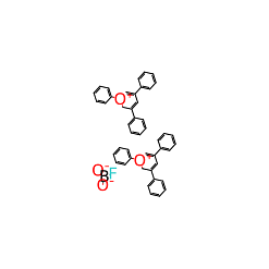 C1=C(c2ccccc2)C=C(c2ccccc2)C[O+]1c1ccccc1.C1=C(c2ccccc2)C=C(c2ccccc2)C[O+]1c1ccccc1.[O-]B([O-])F